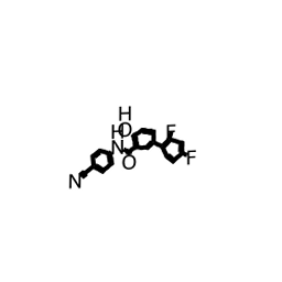 N#Cc1ccc(NC(=O)c2cc(-c3ccc(F)cc3F)ccc2O)cc1